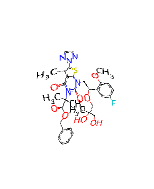 COc1ccc(F)cc1[C@H](Cn1c(=O)n(C(C)(C)C(=O)OCc2ccccc2)c(=O)c2c(C)c(-n3nccn3)sc21)OCC(C)(O)CO